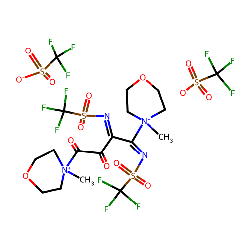 C[N+]1(C(=O)C(=O)C(=NS(=O)(=O)C(F)(F)F)C(=NS(=O)(=O)C(F)(F)F)[N+]2(C)CCOCC2)CCOCC1.O=S(=O)([O-])C(F)(F)F.O=S(=O)([O-])C(F)(F)F